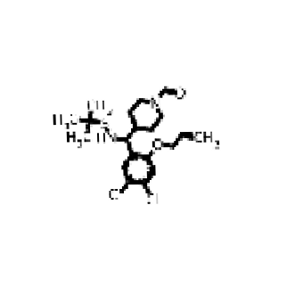 C=CCOc1cc(Cl)c(Cl)cc1C(NSC(C)(C)C)C1CCN(C=O)CC1